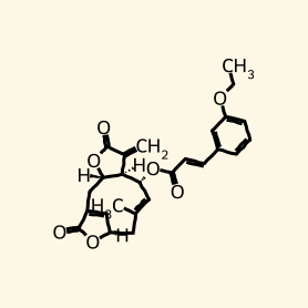 C=C1C(=O)O[C@H]2CC3=C[C@@H](C/C(C)=C/[C@@H](OC(=O)/C=C/c4cccc(OCC)c4)[C@H]12)OC3=O